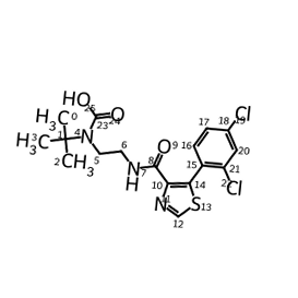 CC(C)(C)N(CCNC(=O)c1ncsc1-c1ccc(Cl)cc1Cl)C(=O)O